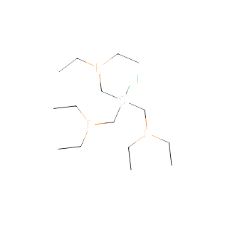 CCP(CC)C[Si](Cl)(CP(CC)CC)CP(CC)CC